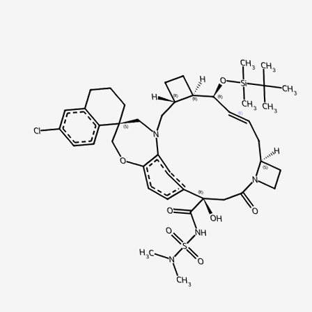 CN(C)S(=O)(=O)NC(=O)[C@@]1(O)CC(=O)N2CC[C@@H]2C/C=C/[C@H](O[Si](C)(C)C(C)(C)C)[C@@H]2CC[C@H]2CN2C[C@@]3(CCCc4cc(Cl)ccc43)COc3ccc1cc32